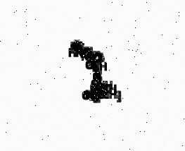 CC(C)(C)C(NC(=O)COCCNC(=O)C1(Cc2cccc(Nc3nccs3)n2)CCCCC1)C(=O)N1CCC[C@H]1C=O